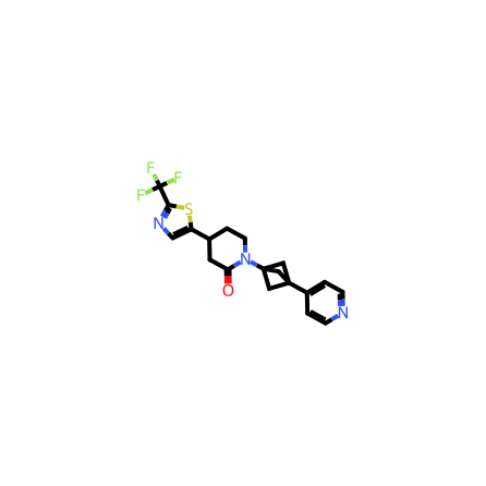 O=C1CC(c2cnc(C(F)(F)F)s2)CCN1C12CC(c3ccncc3)(C1)C2